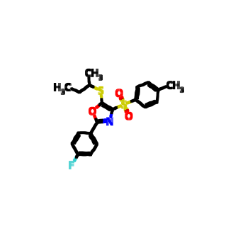 CCC(C)Sc1oc(-c2ccc(F)cc2)nc1S(=O)(=O)c1ccc(C)cc1